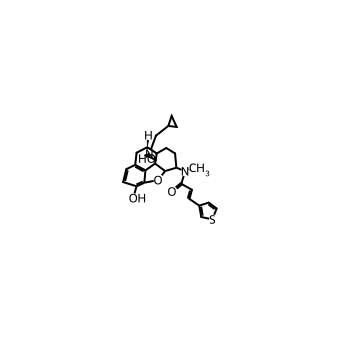 CN(C(=O)/C=C/c1ccsc1)C1CC[C@@]2(O)[C@H]3Cc4ccc(O)c5c4[C@@]2(CCN3CC2CC2)C1O5